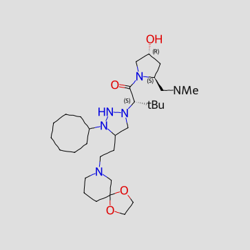 CNC[C@@H]1C[C@@H](O)CN1C(=O)[C@@H](N1CC(CCN2CCCC3(C2)OCCO3)N(C2CCCCCCC2)N1)C(C)(C)C